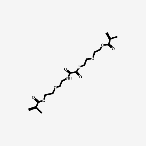 C=C(C)C(=O)OCCOCCNC(=O)C(=O)OCCOCCOC(=O)C(=C)C